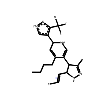 CCCCC1=CC(c2c[nH]nc2C(F)(F)F)NC=C1C1C(C)=NNC1/C=C/F